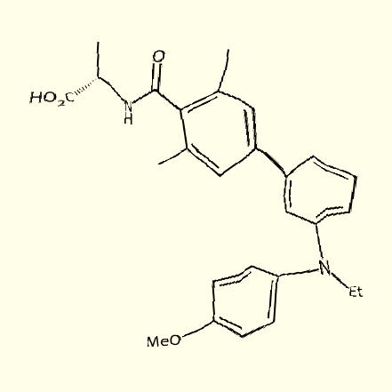 CCN(c1ccc(OC)cc1)c1cccc(-c2cc(C)c(C(=O)N[C@@H](C)C(=O)O)c(C)c2)c1